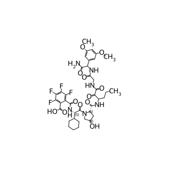 CCCC(NC(=O)[C@@H]1C[C@@H](O)CN1C(=O)[C@@H](NC(=O)c1c(F)c(F)c(F)c(F)c1C(=O)O)C1CCCCC1)C(=O)C(=O)NCC(=O)NC(C(N)=O)c1cc(OC)cc(OC)c1